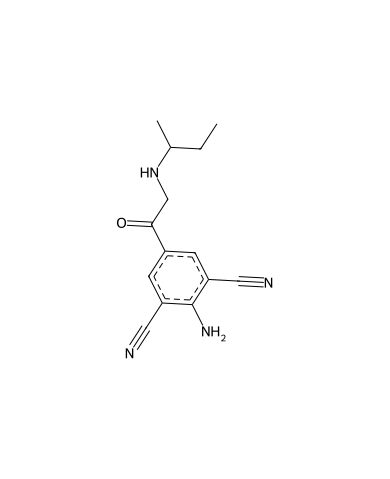 CCC(C)NCC(=O)c1cc(C#N)c(N)c(C#N)c1